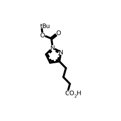 CC(C)(C)OC(=O)n1ccc(CCCC(=O)O)n1